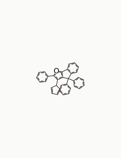 C1=CC(c2c(-c3ccccc3)oc3c2C(c2ccccc2)(c2ccccc2)c2ccccc2-3)C=C1